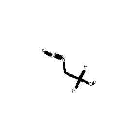 [N-]=[N+]=NCC(O)(F)F